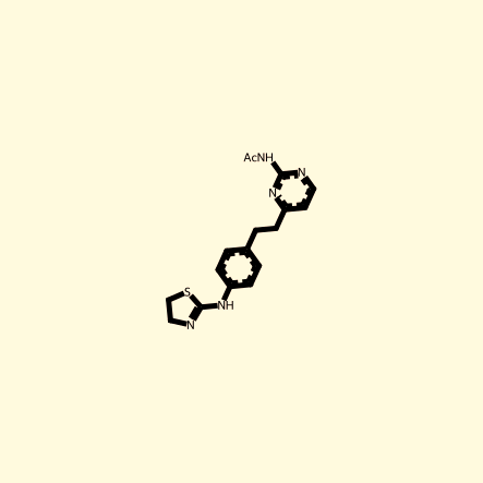 CC(=O)Nc1nccc(CCc2ccc(NC3=NCCS3)cc2)n1